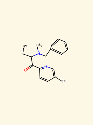 CC(C)CC(C(=O)c1ccc(C(C)(C)C)cn1)N(C)Cc1ccccc1